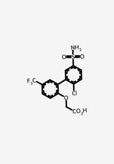 NS(=O)(=O)c1ccc(Cl)c(-c2cc(C(F)(F)F)ccc2OCC(=O)O)c1